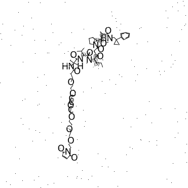 CC[C@H](C)[C@@H]([C@@H](CC(=O)N1CCC[C@H]1[C@H](OC)[C@@H](C)C(=O)NCC1(c2ccccc2)CC1)OC)N(C)C(=O)[C@@H](NC(=O)C(C)(C)NC(=O)CCOCCOCCOCCOCCOCCOCCN1C(=O)C=CC1=O)C(C)C